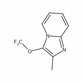 Cc1nc2ccccn2c1OC(F)(F)F